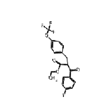 CCOC(=O)C(Cc1ccc(OC(F)(F)F)cc1)C(=O)c1ccc(F)cc1